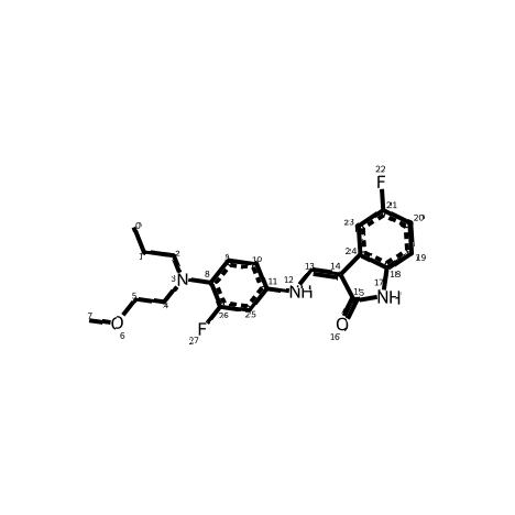 CCCN(CCOC)c1ccc(NC=C2C(=O)Nc3ccc(F)cc32)cc1F